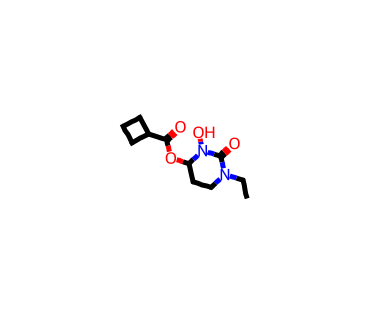 CCN1CCC(OC(=O)C2CCC2)N(O)C1=O